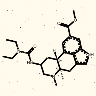 CCN(CC)C(=O)NC1C[C@@H]2c3cc(C(=O)OC)cc4[nH]cc(c34)C[C@H]2N(C)C1